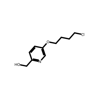 OCc1ccc(OCCCCCl)cn1